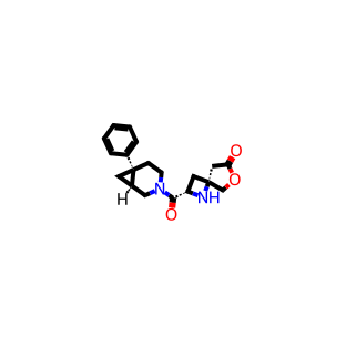 O=C1C[C@@]2(CO1)C[C@@H](C(=O)N1CC[C@]3(c4ccccc4)C[C@@H]3C1)N2